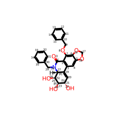 O=C1c2c(cc3c(c2OCc2ccccc2)OCO3)C2=C[C@H](O)[C@@H](O)[C@@H](O)[C@@H]2N1Cc1ccccc1